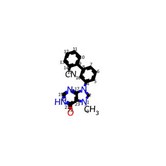 CN1CN(c2cccc(-c3ccccc3C#N)c2)c2nc[nH]c(=O)c21